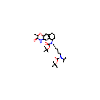 CC1Oc2cc3c(cc2NC1=O)C(N(CCCCCN(C(=O)OC(C)(C)C)C(C)C)C(=O)OC(C)(C)C)CCC3